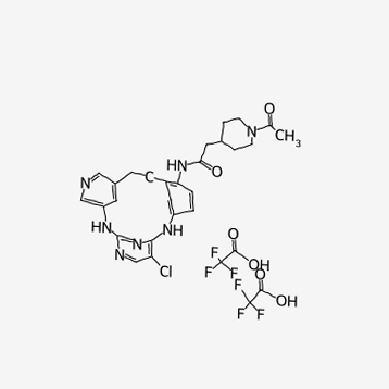 CC(=O)N1CCC(CC(=O)Nc2ccc3cc2CCc2cncc(c2)Nc2ncc(Cl)c(n2)N3)CC1.O=C(O)C(F)(F)F.O=C(O)C(F)(F)F